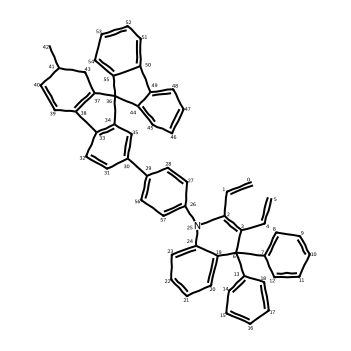 C=CC1=C(C=C)C(c2ccccc2)(c2ccccc2)c2ccccc2N1c1ccc(-c2ccc3c(c2)C2(C4=C3C=CC(C)C4)c3ccccc3-c3ccccc32)cc1